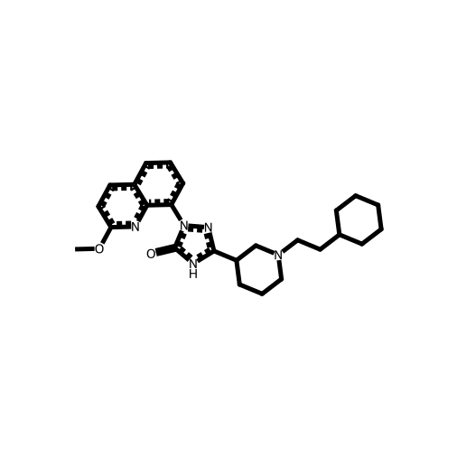 COc1ccc2cccc(-n3nc(C4CCCN(CCC5CCCCC5)C4)[nH]c3=O)c2n1